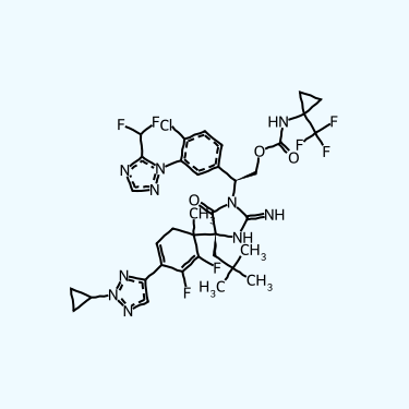 CC(C)(C)C[C@]1(C2(C)CC=C(c3cnn(C4CC4)n3)C(F)=C2F)NC(=N)N([C@H](COC(=O)NC2(C(F)(F)F)CC2)c2ccc(Cl)c(-n3ncnc3C(F)F)c2)C1=O